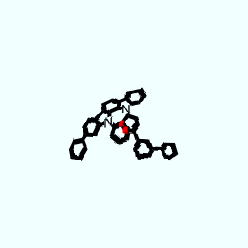 c1ccc(-c2cccc(-c3ccc(-n4c5ccccc5c5ccc6c7ccc(-c8ccccc8)cc7n(-c7ccccc7)c6c54)cc3)c2)cc1